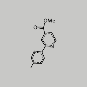 COC(=O)c1ccnc(-c2ccc(C)cc2)c1